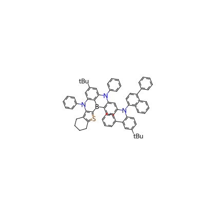 CC(C)(C)c1ccc(N(c2ccc3c(c2)N(c2ccccc2)c2cc(C(C)(C)C)cc4c2B3c2sc3c(c2N4c2ccccc2)CCCC3)c2ccc(-c3ccccc3)c3ccccc23)c(-c2ccccc2)c1